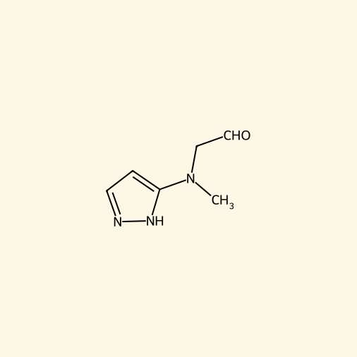 CN(CC=O)c1ccn[nH]1